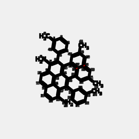 Cc1cccc(-c2c(N)c3ccc4ccc(N)c5c(-c6cccc(C)c6)c(-c6cccc(C)c6)c(c2-c2cccc(C)c2)c3c45)c1